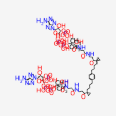 CC(C)(COP(=O)(O)OP(=O)(O)OCC1OC(n2cnc3c(N)ncnc32)C(O)C1OP(=O)(O)O)C(O)C(=O)NCCC(=O)NCCC(=O)C1(CCCCc2ccc(CCCCC3(C(=O)CCNC(=O)CCNC(=O)C(O)C(C)(C)COP(=O)(O)OP(=O)(O)OCC4OC(n5cnc6c(N)ncnc65)C(O)C4OP(=O)(O)O)CC3)cc2)CC1